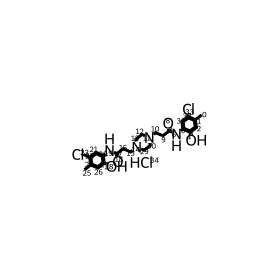 Cc1cc(O)c(NC(=O)CCN2CCN(CCC(=O)Nc3cc(Cl)c(C)cc3O)CC2)cc1Cl.Cl